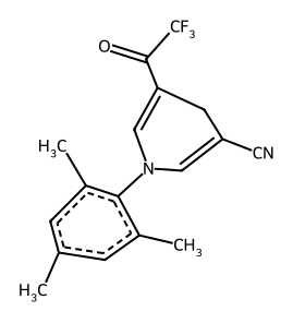 Cc1cc(C)c(N2C=C(C#N)CC(C(=O)C(F)(F)F)=C2)c(C)c1